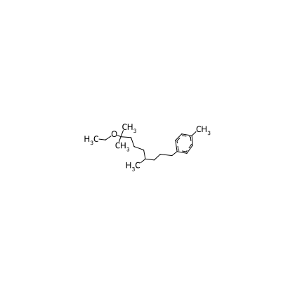 CCOC(C)(C)CCCC(C)CCCc1ccc(C)cc1